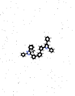 C[Si]1(C)c2ccccc2-c2nc(-c3ccccc3)nc(-c3cccc(-c4cccc(-c5cccc(-c6cc(-c7ccccc7)cc(-c7ccccc7)n6)c5)c4)c3)c21